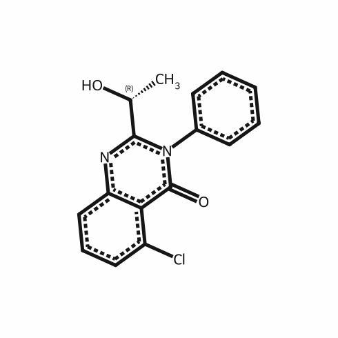 C[C@@H](O)c1nc2cccc(Cl)c2c(=O)n1-c1ccccc1